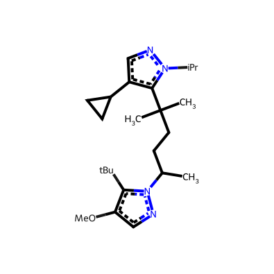 COc1cnn(C(C)CCC(C)(C)c2c(C3CC3)cnn2C(C)C)c1C(C)(C)C